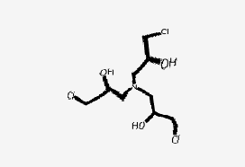 OC(CCl)CN(CC(O)CCl)CC(O)CCl